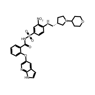 O=C(NS(=O)(=O)c1ccc(NC[C@@H]2CCN(C3CCOCC3)C2)c([N+](=O)[O-])c1)c1ccccc1Oc1cnc2[nH]ccc2c1